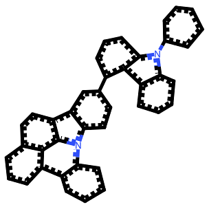 c1ccc(-n2c3ccccc3c3c(-c4ccc5c(c4)c4ccc6cccc7c8ccccc8n5c4c67)cccc32)cc1